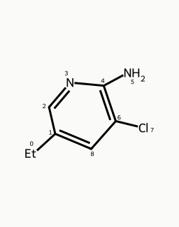 CCc1cnc(N)c(Cl)c1